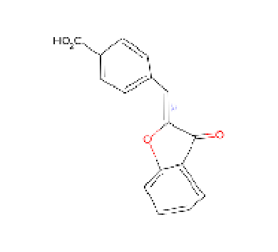 O=C(O)c1ccc(/C=C2\Oc3ccccc3C2=O)cc1